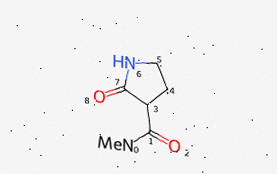 CNC(=O)C1[CH]CNC1=O